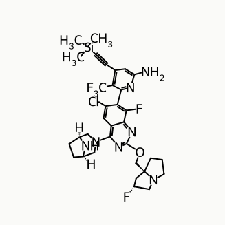 C[Si](C)(C)C#Cc1cc(N)nc(-c2c(Cl)cc3c(N4C[C@H]5CC[C@@H](C4)N5)nc(OC[C@@]45CCCN4C[C@H](F)C5)nc3c2F)c1C(F)(F)F